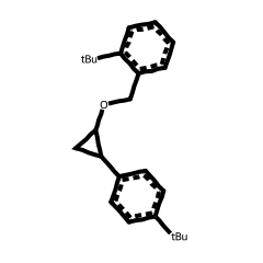 CC(C)(C)c1ccc(C2CC2OCc2ccccc2C(C)(C)C)cc1